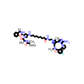 CC[C@H](NC(=O)[C@H]1C[C@@H](NCCCCCCCCC(=O)NCCn2nc3c(c2C#N)-c2cnc(N)c(n2)N2CCC[C@@H]2c2cc(F)ccc2C(=O)N(C)C3)CN1C(=O)[C@H](NC(=O)[C@@H](C)NC)C(C)(C)C)c1ccccc1